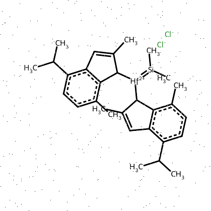 CC1=Cc2c(C(C)C)ccc(C)c2[CH]1[Hf+2]([CH]1C(C)=Cc2c(C(C)C)ccc(C)c21)=[Si](C)C.[Cl-].[Cl-]